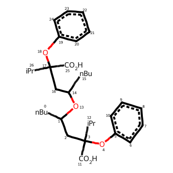 CCCCC(CC(Oc1ccccc1)(C(=O)O)C(C)C)OC(CCCC)CC(Oc1ccccc1)(C(=O)O)C(C)C